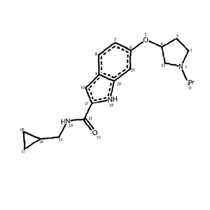 CC(C)N1CCC(Oc2ccc3cc(C(=O)NCC4CC4)[nH]c3c2)C1